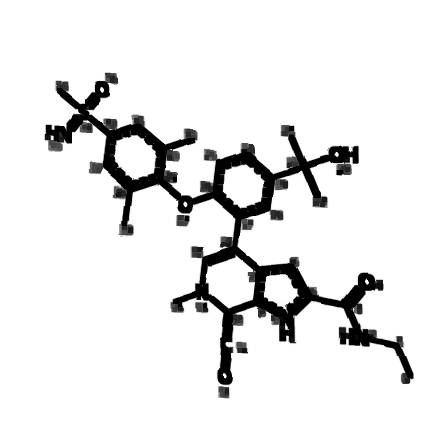 CCNC(=O)c1cc2c([nH]1)C(=C=O)N(C)C=C2c1cc(C(C)(C)O)ccc1Oc1c(C)cc(S(C)(=N)=O)cc1C